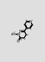 CC(C)N1N=C(c2ccncc2)CCC1=O